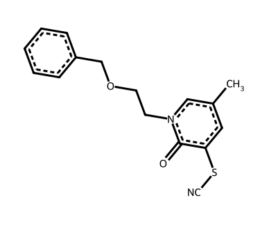 Cc1cc(SC#N)c(=O)n(CCOCc2ccccc2)c1